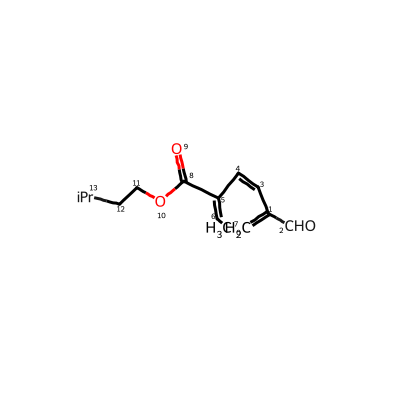 C=C(C=O)/C=C\C(=C/C)C(=O)OCCC(C)C